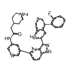 O=C(CC1CCNCC1)Nc1cncc(-c2ccc3[nH]nc(-c4cc5c(-c6ccccc6F)cncc5[nH]4)c3n2)c1